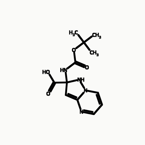 CC(C)(C)OC(=O)NC1(C(=O)O)C=C2N=CC=CN2N1